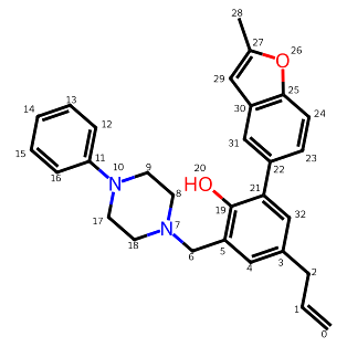 C=CCc1cc(CN2CCN(c3ccccc3)CC2)c(O)c(-c2ccc3oc(C)cc3c2)c1